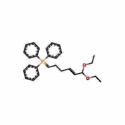 CCOC(/C=C/CCC=P(c1ccccc1)(c1ccccc1)c1ccccc1)OCC